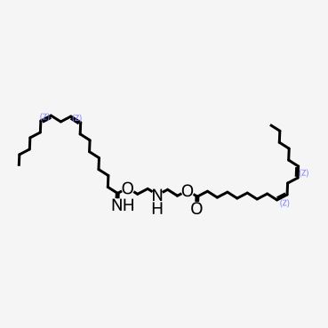 CCCCC/C=C\C/C=C\CCCCCCCC(=N)OCCNCCOC(=O)CCCCCCC/C=C\C/C=C\CCCCC